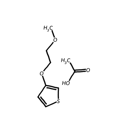 CC(=O)O.COCCOc1ccsc1